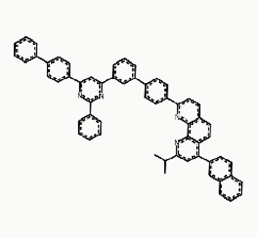 CC(C)c1cc(-c2ccc3ccccc3c2)c2ccc3ccc(-c4ccc(-c5cccc(-c6cc(-c7ccc(-c8ccccc8)cc7)nc(-c7ccccc7)n6)c5)cc4)nc3c2n1